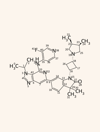 CC(C)n1cnc2cc(-c3ccc4c(c3)N([C@H]3C[C@@H](N5C[C@@H](C)[C@@H](C)C5)C3)C(=O)C4(C)C)nc(Nc3ccncc3F)c21